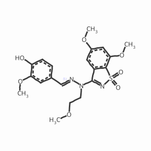 COCCN(/N=C/c1ccc(O)c(OC)c1)C1=NS(=O)(=O)c2c(OC)cc(OC)cc21